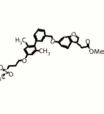 COC(=O)CC1COc2cc(OCc3cccc(-c4c(C)cc(OCCCS(C)(=O)=O)cc4C)c3)ccc21